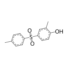 Cc1ccc(S(=O)(=O)c2ccc(O)c(C)c2)cc1